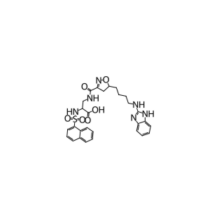 O=C(NCC(NS(=O)(=O)c1cccc2ccccc12)C(=O)O)C1=NOC(CCCCNc2nc3ccccc3[nH]2)C1